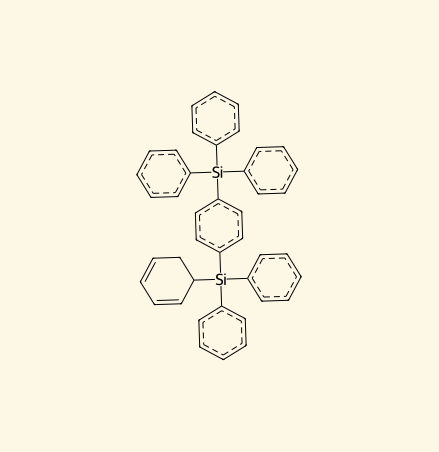 C1=CCC([Si](c2ccccc2)(c2ccccc2)c2ccc([Si](c3ccccc3)(c3ccccc3)c3ccccc3)cc2)C=C1